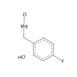 Cl.Fc1ccc([CH2][Mg][Cl])cc1